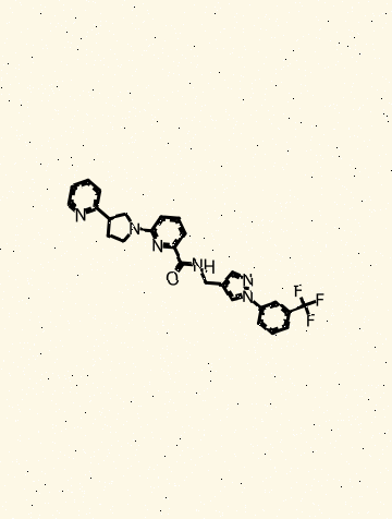 O=C(NCc1cnn(-c2cccc(C(F)(F)F)c2)c1)c1cccc(N2CCC(c3ccccn3)C2)n1